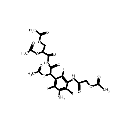 CC(=O)OCC(=O)Nc1c(I)c(N)c(I)c(C(OC(C)=O)C(=O)NC(=O)C(COC(C)=O)OC(C)=O)c1I